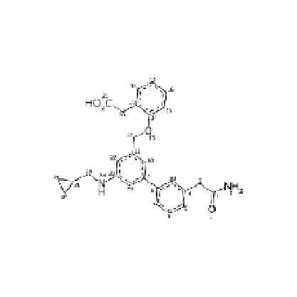 NC(=O)Cc1cccc(-c2cc(COc3ccccc3CC(=O)O)cc(NCC3CC3)c2)c1